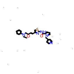 O=C(Nc1nc(/C=C/C2CN(c3ccccc3)CCO2)cs1)c1cccn1Cc1ccncc1